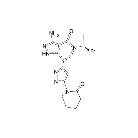 CC(C)[C@H](C)n1cc(-c2cc(N3CCCCC3=O)n(C)n2)c2[nH]nc(N)c2c1=O